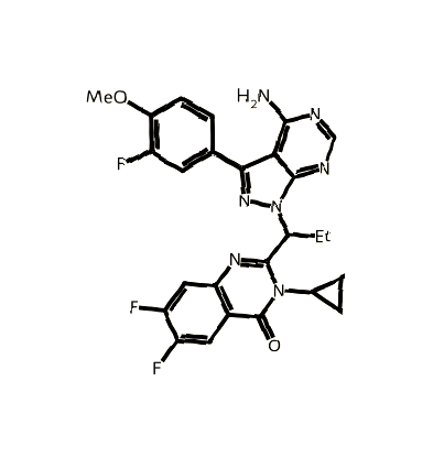 CCC(c1nc2cc(F)c(F)cc2c(=O)n1C1CC1)n1nc(-c2ccc(OC)c(F)c2)c2c(N)ncnc21